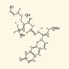 CC/C=C\C(C)[C@H](O)[C@@H](C)[C@H](O[Si](C)(C)C(C)(C)C)[C@@H](C)C/C(C)=C\[C@H](C)[C@@H](OCOC)C(C)/C=C\c1ccc2oc(=O)ccc2c1